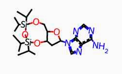 CC(C)[Si]1(C(C)C)OCC2OC(n3cnc4c(N)ncnc43)CC2O[Si](C(C)C)(C(C)C)O1